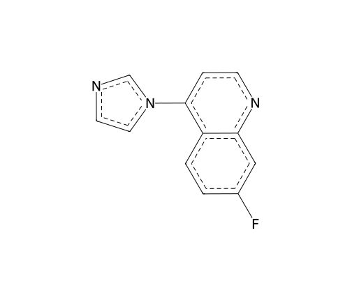 Fc1ccc2c(-n3ccnc3)ccnc2c1